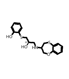 Oc1ccccc1SC[C@H](O)CNC1COc2ccccc2SC1